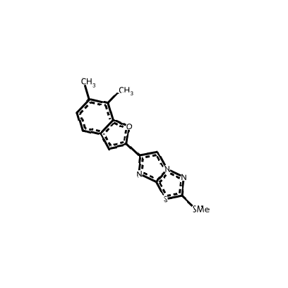 CSc1nn2cc(-c3cc4ccc(C)c(C)c4o3)nc2s1